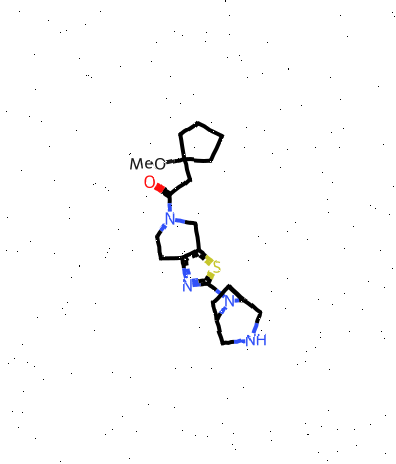 COC1(CC(=O)N2CCc3nc(N4C5CCC4CNC5)sc3C2)CCCC1